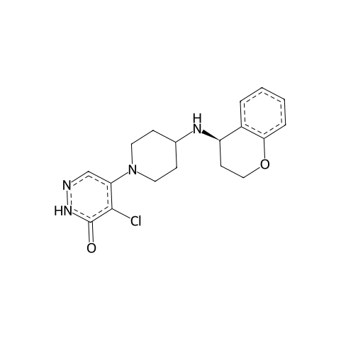 O=c1[nH]ncc(N2CCC(N[C@@H]3CCOc4ccccc43)CC2)c1Cl